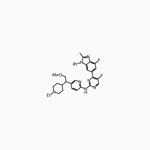 CCN1CCC(C(COC)c2ccc(Nc3ncc(F)c(-c4cc(F)c5nc(C)n(C(C)C)c5c4)n3)nc2)CC1